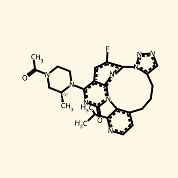 CC(=O)N1CCN(c2nc(=O)n3c4nc(c(F)cc24)-n2nncc2CCCc2ccnc(C(C)C)c2-3)[C@@H](C)C1